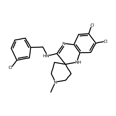 CN1CCC2(CC1)Nc1cc(Cl)c(Cl)cc1N=C2NCc1cccc(Cl)c1